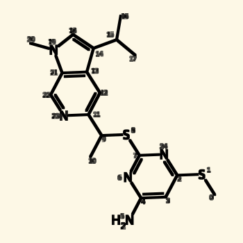 CSc1cc(N)nc(SC(C)c2cc3c(C(C)C)cn(C)c3cn2)n1